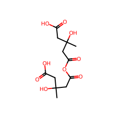 CC(O)(CC(=O)O)CC(=O)OC(=O)CC(C)(O)CC(=O)O